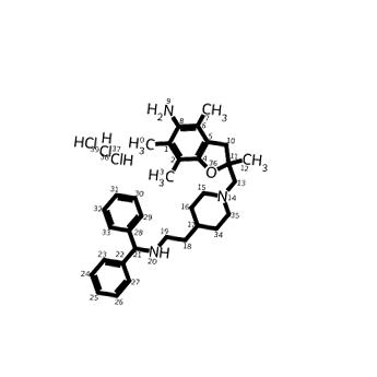 Cc1c(C)c2c(c(C)c1N)CC(C)(CN1CCC(CCNC(c3ccccc3)c3ccccc3)CC1)O2.Cl.Cl.Cl